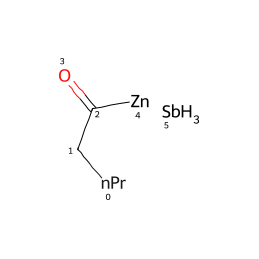 CCCC[C](=O)[Zn].[SbH3]